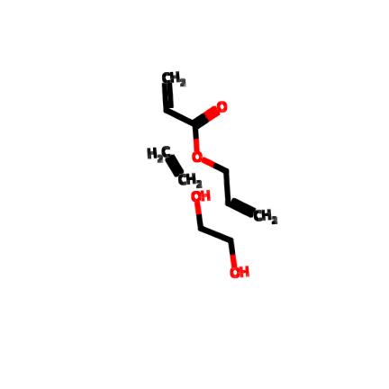 C=C.C=CCOC(=O)C=C.OCCO